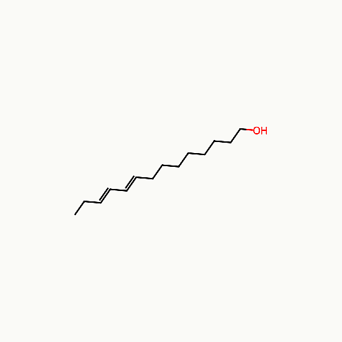 CCC=CC=CCCCCCCCCO